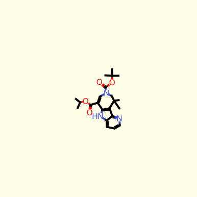 CC(C)OC(=O)C1=CN(C(=O)OC(C)(C)C)CC(C)(C)c2c1[nH]c1cccnc21